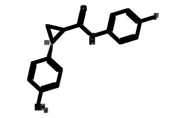 Nc1ccc([C@@H]2CC2C(=O)Nc2ccc(F)cc2)cc1